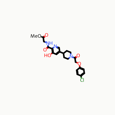 COC(=O)CNC(=O)c1ncc(C2CCN(C(=O)COc3ccc(Cl)cc3)CC2)cc1O